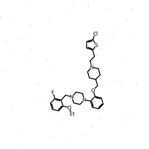 CCOc1cccc(F)c1CN1CCN(c2ccccc2OCC2CCN(CCc3ccc(Cl)s3)CC2)CC1